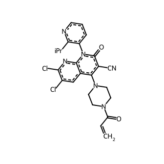 C=CC(=O)N1CCN(c2c(C#N)c(=O)n(-c3cccnc3C(C)C)c3nc(Cl)c(Cl)cc23)CC1